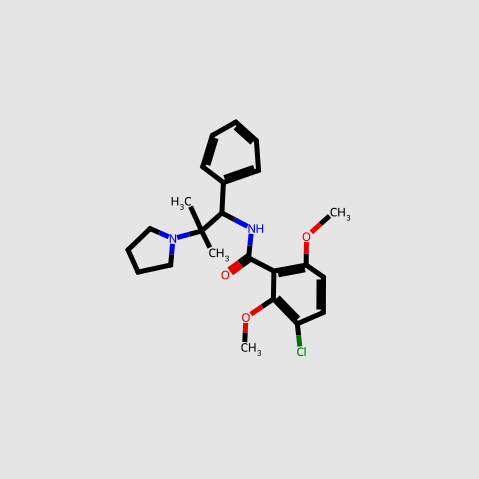 COc1ccc(Cl)c(OC)c1C(=O)NC(c1ccccc1)C(C)(C)N1CCCC1